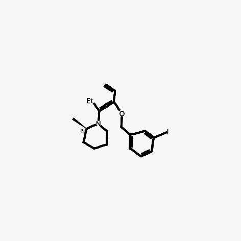 C=CC(OCc1cccc(I)c1)=C(CC)N1CCCC[C@H]1C